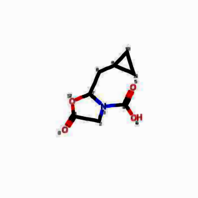 O=C1CN(C(=O)O)C(CC2CC2)O1